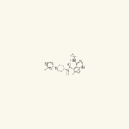 Cc1nccc(N2CCC(NC(=O)c3c(C)oc4ncnc(NC5(C)CC5)c34)CC2)n1